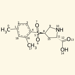 Cc1ccc(S(=O)(=O)[C@H]2CN[C@H](C(=O)O)C2)c(C)c1